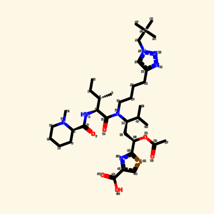 CC[C@H](C)[C@H](NC(=O)[C@H]1CCCCN1C)C(=O)N(CCCCc1cn(C[Si](C)(C)C)nn1)[C@H](C[C@@H](OC(C)=O)c1nc(C(=O)O)cs1)C(C)C